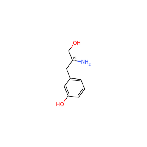 N[C@H](CO)Cc1cccc(O)c1